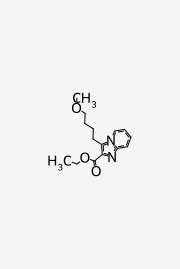 CCOC(=O)c1nc2ccccn2c1CCCCOC